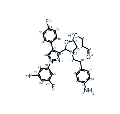 CCCC=O.Nc1ccc(CCN2CCOC2c2nn(-c3cc(F)cc(F)c3)cc2-c2ccc(F)cc2)cc1